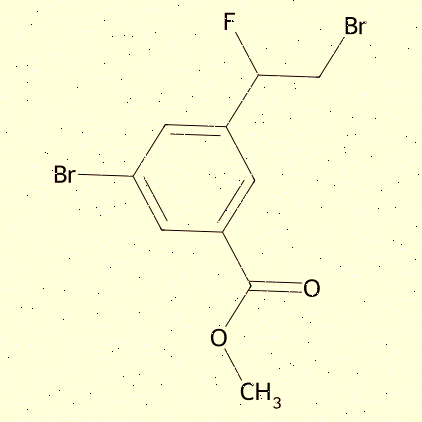 COC(=O)c1cc(Br)cc(C(F)CBr)c1